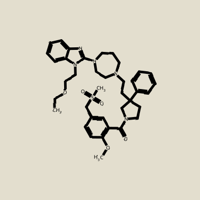 CCOCCn1c(N2CCCN(CCC3(c4ccccc4)CCN(C(=O)c4cc(CS(C)(=O)=O)ccc4OC)C3)CC2)nc2ccccc21